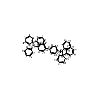 C1=CCC(c2ccccc2)(N(c2ccccc2)c2ccc(-c3ccc(N(c4ccccc4)C4(c5ccccc5)C=CC=CC4)cc3)cc2)C=C1